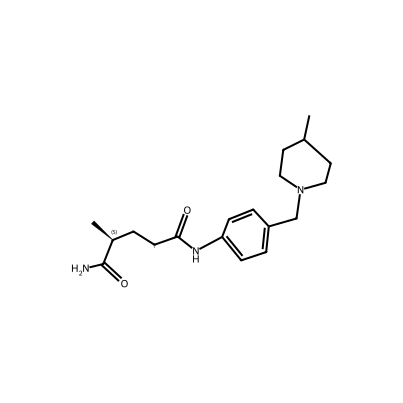 CC1CCN(Cc2ccc(NC(=O)[CH]C[C@H](C)C(N)=O)cc2)CC1